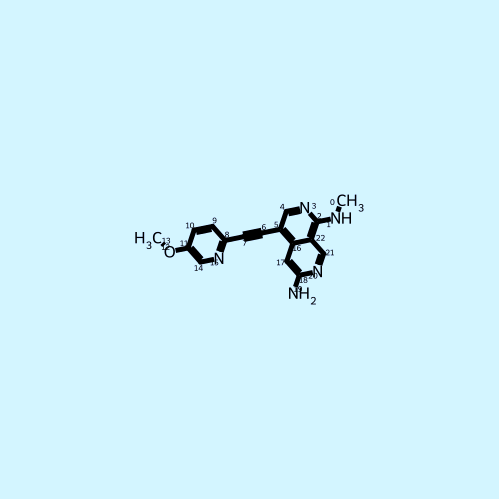 CNc1ncc(C#Cc2ccc(OC)cn2)c2cc(N)ncc12